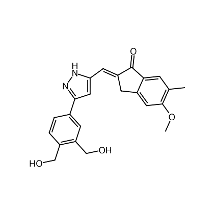 COc1cc2c(cc1C)C(=O)/C(=C/c1cc(-c3ccc(CO)c(CO)c3)n[nH]1)C2